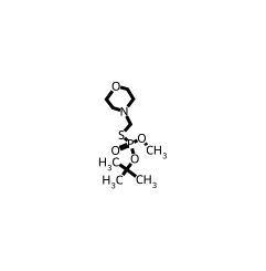 COP(=O)(OC(C)(C)C)SCN1CCOCC1